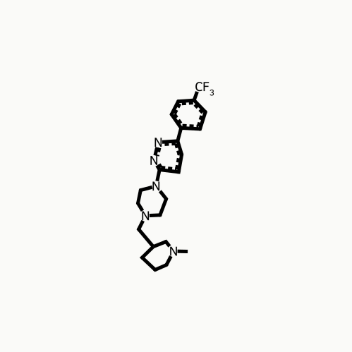 CN1CCCC(CN2CCN(c3ccc(-c4ccc(C(F)(F)F)cc4)nn3)CC2)C1